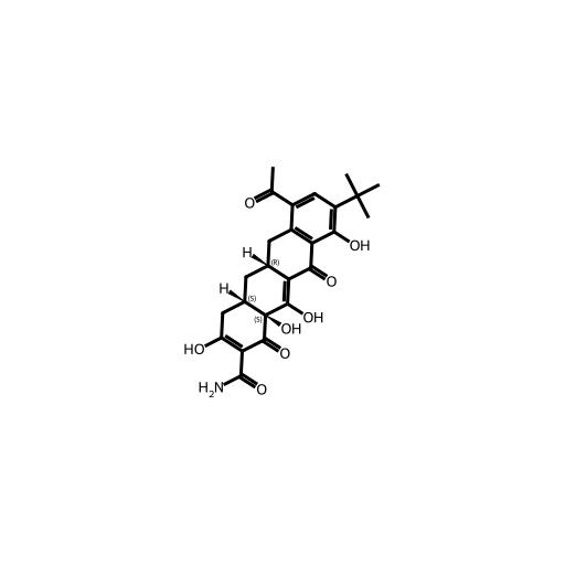 CC(=O)c1cc(C(C)(C)C)c(O)c2c1C[C@H]1C[C@H]3CC(O)=C(C(N)=O)C(=O)[C@@]3(O)C(O)=C1C2=O